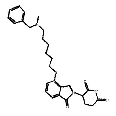 CN(CCCCCCSc1cccc2c1CN(C1CCC(=O)NC1=O)C2=O)Cc1ccccc1